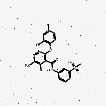 Cc1ccc(Oc2nnc(C(F)(F)F)c(C)c2C(=O)Nc2cccc(S(C)(=N)=O)c2)c(Cl)c1